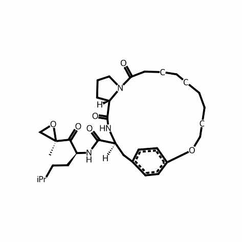 CC(C)CC[C@H](NC(=O)[C@@H]1Cc2ccc(cc2)OCCCCCCCCC(=O)N2CCC[C@H]2C(=O)N1)C(=O)[C@@]1(C)CO1